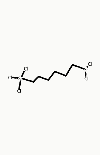 Cl[Si](Cl)CCCCCC[Si](Cl)(Cl)Cl